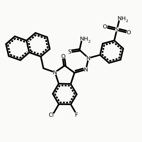 NC(=S)N(/N=C1\C(=O)N(Cc2cccc3ccccc23)c2cc(Cl)c(F)cc21)c1cccc(S(N)(=O)=O)c1